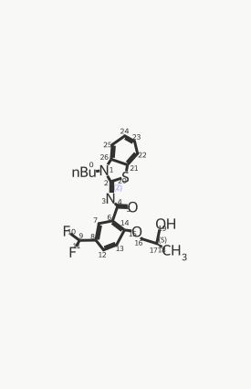 CCCCn1/c(=N/C(=O)c2cc(C(F)F)ccc2OC[C@H](C)O)sc2ccccc21